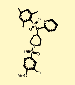 COc1ccc(S(=O)(=O)N2CCC(N(c3ccccn3)S(=O)(=O)c3c(C)cc(C)cc3C)CC2)cc1Cl